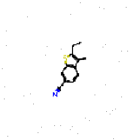 CCc1sc2cc(C#N)ccc2c1C